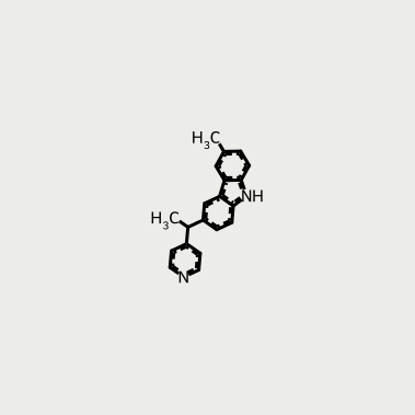 Cc1ccc2[nH]c3ccc(C(C)c4ccncc4)cc3c2c1